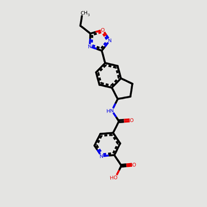 CCc1nc(-c2ccc3c(c2)CCC3NC(=O)c2ccnc(C(=O)O)c2)no1